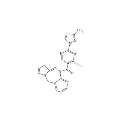 Cc1ccn(-c2ncc(C(=O)N3C=C4CC=CN4Cc4ccccc43)c(C(F)(F)F)n2)n1